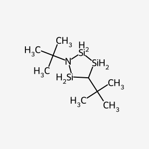 CC(C)(C)C1[SiH2][SiH2]N(C(C)(C)C)[SiH2]1